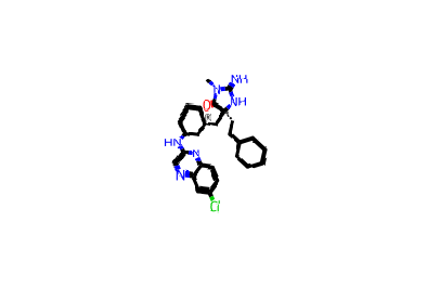 CN1C(=N)N[C@@](CCC2CCCCC2)(C[C@@H]2CCCC(Nc3cnc4cc(Cl)ccc4n3)C2)C1=O